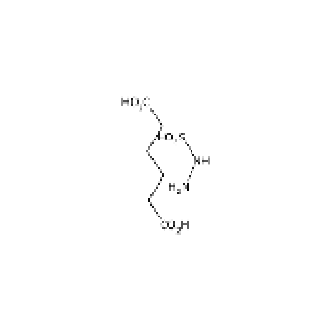 NNS(=O)(=O)O.O=C(O)CCCCC(=O)O